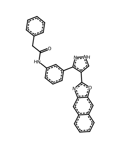 O=C(Cc1ccccc1)Nc1cccc(-c2n[nH]cc2-c2nc3cc4ccccc4cc3o2)c1